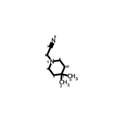 CC1(C)CCN(CC#N)CC1